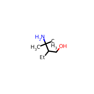 CCC(CO)C(C)(C)N